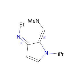 CC/N=C1/C=CN(C(C)C)/C1=C/NC